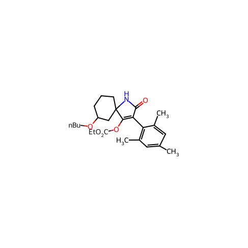 CCCCOC1CCCC2(C1)NC(=O)C(c1c(C)cc(C)cc1C)=C2OC(=O)OCC